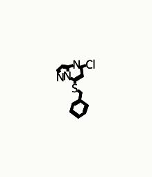 Clc1cc(SCc2ccccc2)n2nccc2n1